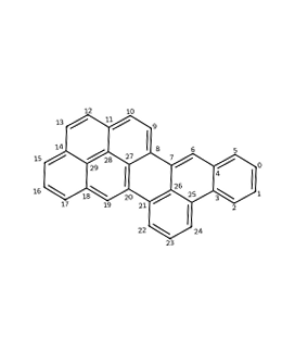 c1ccc2c(c1)cc1c3ccc4ccc5cccc6cc(c7cccc2c17)c3c4c56